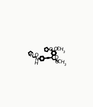 COC(=O)CC(C#Cc1ccc(NC(=O)CN2CCCC2)cc1)c1ccc(OC)c(OC2CCCC2)c1